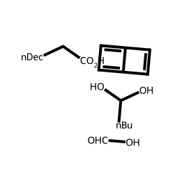 CCCCC(O)O.CCCCCCCCCCCC(=O)O.O=CO.c1cc2ccc1-2